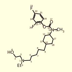 CCN(CCO)CCCCCC1CCC(N(C)C(=O)Oc2ccc(F)cc2F)CC1